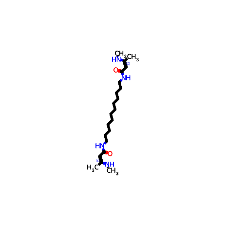 CN/C(C)=C\C(=O)NCCCCCCCCCCCCNC(=O)/C=C(/C)NC